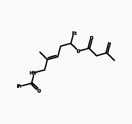 C=C(C)CC(=O)OC(CC)C/C=C(\C)CNC(=O)C(C)C